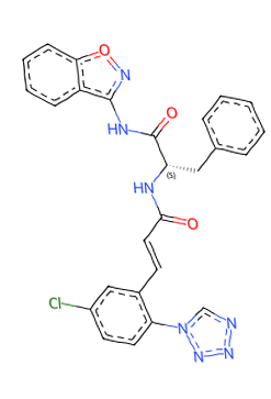 O=C(C=Cc1cc(Cl)ccc1-n1cnnn1)N[C@@H](Cc1ccccc1)C(=O)Nc1noc2ccccc12